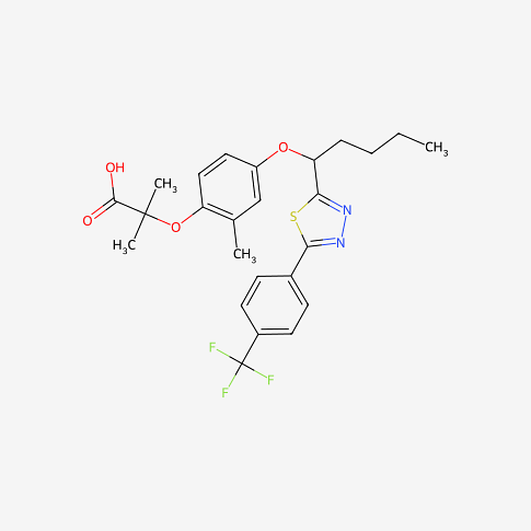 CCCCC(Oc1ccc(OC(C)(C)C(=O)O)c(C)c1)c1nnc(-c2ccc(C(F)(F)F)cc2)s1